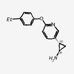 CCc1ccc(Oc2ccc([C@@H]3C[C@H]3N)cn2)cc1